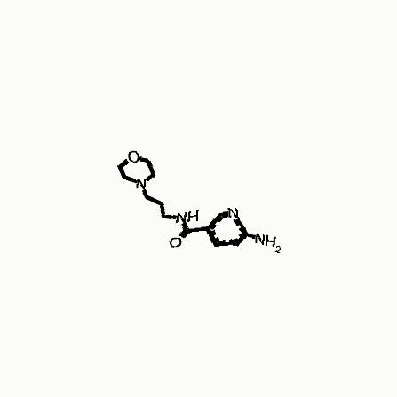 Nc1ccc(C(=O)NCCCN2CCOCC2)cn1